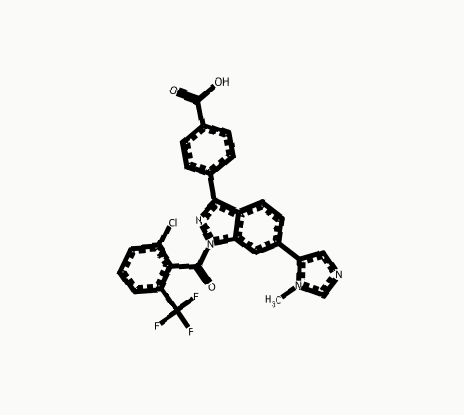 Cn1cncc1-c1ccc2c(-c3ccc(C(=O)O)cc3)nn(C(=O)c3c(Cl)cccc3C(F)(F)F)c2c1